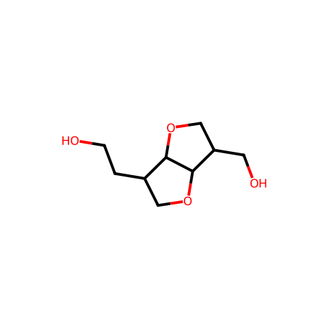 OCCC1COC2C(CO)COC12